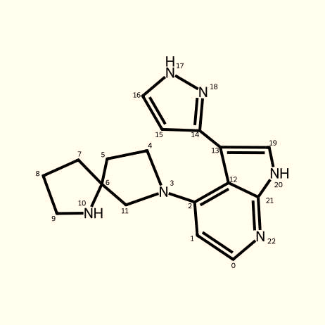 c1cc(N2CCC3(CCCN3)C2)c2c(-c3cc[nH]n3)c[nH]c2n1